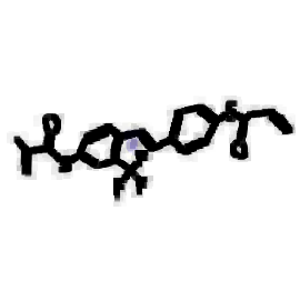 C=CC(=O)Sc1ccc(/C=C/c2ccc(SC(=O)C(=C)C)cc2C(F)(F)F)cc1